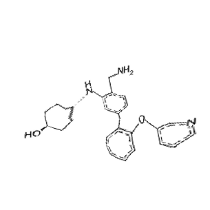 NCc1ccc(-c2ccccc2Oc2cccnc2)cc1N[C@H]1CC[C@H](O)CC1